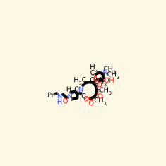 CO[C@]1(C)C[C@@H](C)CN(C)[C@H](C2CCN(C(=O)CNCC(C)C)CC2)COC(=O)[C@H](C)C(=O)[C@H](C)[C@H]1O[C@@H]1O[C@H](C)C[C@H](N(C)C)[C@H]1O